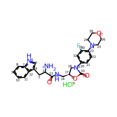 Cl.NC(Cc1c[nH]c2ccccc12)C(=O)NC[C@H]1CN(c2ccc(N3CCOCC3)c(F)c2)C(=O)O1